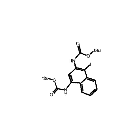 CC(C)(C)OC(=O)Nc1cc(NC(=O)OC(C)(C)C)c2ccccc2c1I